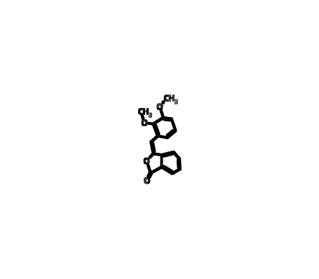 COc1cccc(/C=C2/OC(=O)c3ccccc32)c1OC